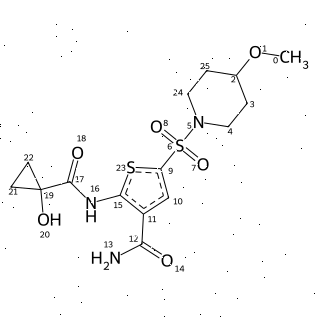 COC1CCN(S(=O)(=O)c2cc(C(N)=O)c(NC(=O)C3(O)CC3)s2)CC1